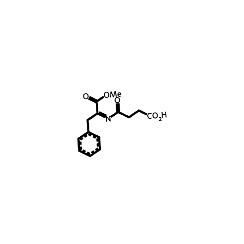 COC(=O)C(Cc1ccccc1)=NC(=O)CCC(=O)O